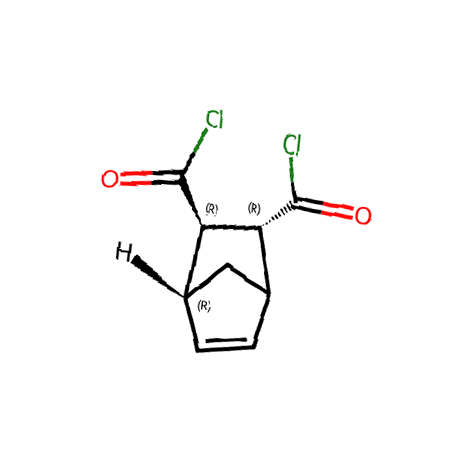 O=C(Cl)[C@H]1[C@H](C(=O)Cl)C2C=C[C@H]1C2